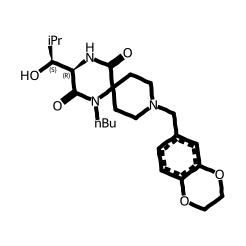 CCCCN1C(=O)[C@@H]([C@@H](O)C(C)C)NC(=O)C12CCN(Cc1ccc3c(c1)OCCO3)CC2